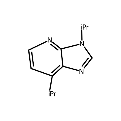 CC(C)c1ccnc2c1ncn2C(C)C